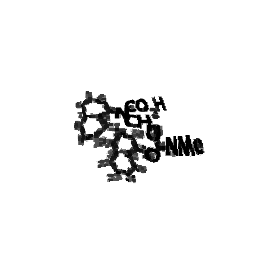 CN(C(=O)O)c1cccc2ccccc12.CNC(=O)Oc1cccc2ccccc12